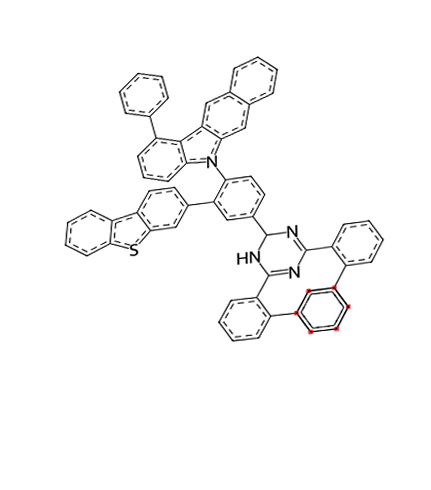 c1ccc(-c2ccccc2C2=NC(c3ccc(-n4c5cc6ccccc6cc5c5c(-c6ccccc6)cccc54)c(-c4ccc5c(c4)sc4ccccc45)c3)NC(c3ccccc3-c3ccccc3)=N2)cc1